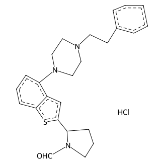 Cl.O=CN1CCCC1c1cc2c(N3CCN(CCc4ccccc4)CC3)cccc2s1